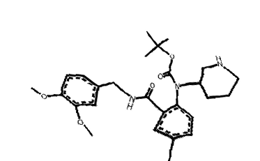 COc1ccc(CNC(=O)c2cc([N+](=O)[O-])ccc2N(C(=O)OC(C)(C)C)C2CCCNC2)cc1OC